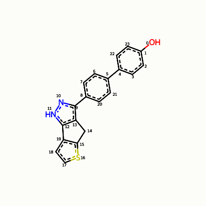 Oc1ccc(-c2ccc(-c3n[nH]c4c3Cc3sccc3-4)cc2)cc1